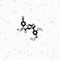 COc1ccc(-c2cnc3cnc(C(=O)N(C)c4ccc(C#N)cc4)cn23)c(C)c1